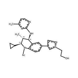 CC(=O)N1c2ccc(-c3cnn(CCO)c3)cc2[C@H](Nc2nccc(C)n2)[C@@H](C)[C@@H]1C1CC1